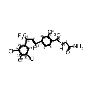 NC(=O)CNC(=O)c1ccc(C(F)=CC(c2cc(Cl)c(Cl)c(Cl)c2)C(F)(F)F)cc1C(F)(F)F